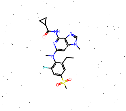 CCc1cc(S(C)(=O)=O)cc(F)c1N(C)c1cc2c(ncn2C)c(NC(=O)C2CC2)n1